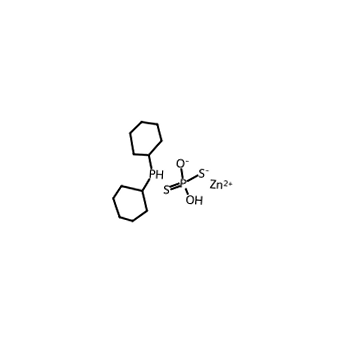 C1CCC(PC2CCCCC2)CC1.[O-]P(O)(=S)[S-].[Zn+2]